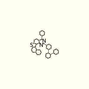 c1ccc(-c2ccccc2-c2cccc(-c3nc(-c4ccccc4)c4ccc5sc6ccc7ccccc7c6c5c4n3)c2)cc1